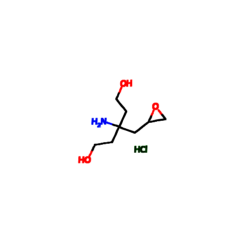 Cl.NC(CCO)(CCO)CC1CO1